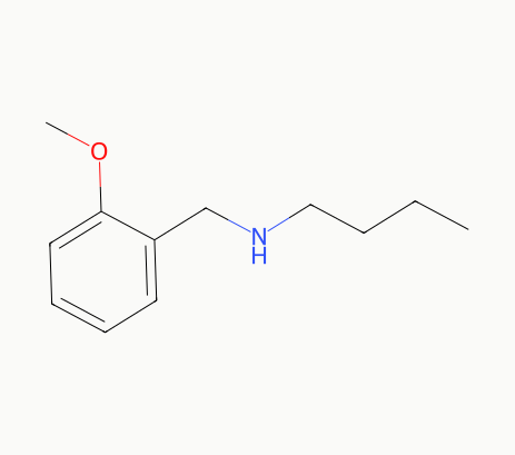 CCCCNCc1ccccc1OC